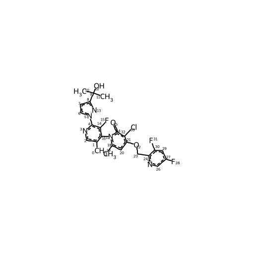 Cc1cnc(-n2ccc(C(C)(C)O)n2)c(F)c1-n1c(C)cc(OCc2ncc(F)cc2F)c(Cl)c1=O